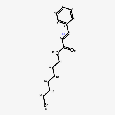 O=C(/C=C/c1ccccc1)OCCCCCCBr